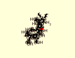 CCCCOC1C(COS(=O)(=O)O)OC(OC2C(OC)C(OC)C(OC3C(COS(=O)(=O)O)OC(OC4COC(OC5C(COS(=O)(=O)O)OC(OC)C(OS(=O)(=O)O)C5O)[C@H](OCC(=O)O)C4OC)C(OS(=O)(=O)O)C3OS(=O)(=O)O)OC2(CC)C(=O)O)C(N)C1OCCCC